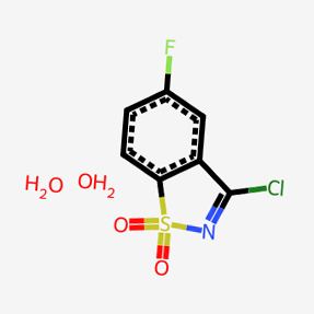 O.O.O=S1(=O)N=C(Cl)c2cc(F)ccc21